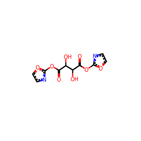 O=C(Oc1ncco1)C(O)C(O)C(=O)Oc1ncco1